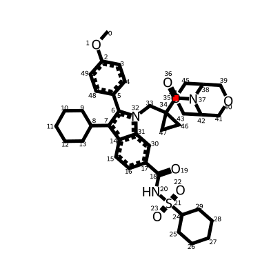 COc1ccc(-c2c(C3CCCCC3)c3ccc(C(=O)NS(=O)(=O)C4CCCCC4)cc3n2CC2(C(=O)N3C4COCC3COC4)CC2)cc1